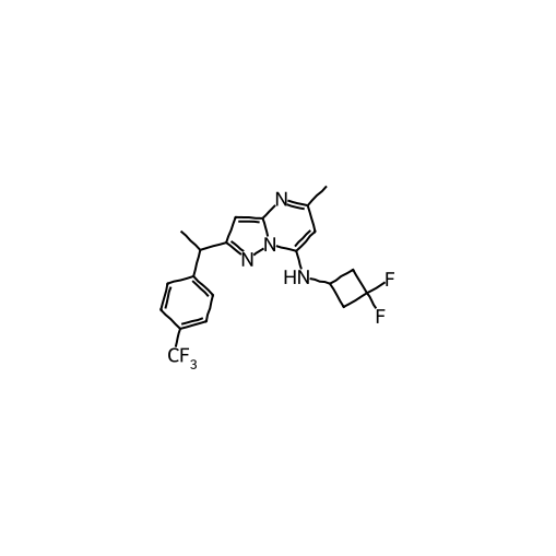 Cc1cc(NC2CC(F)(F)C2)n2nc(C(C)c3ccc(C(F)(F)F)cc3)cc2n1